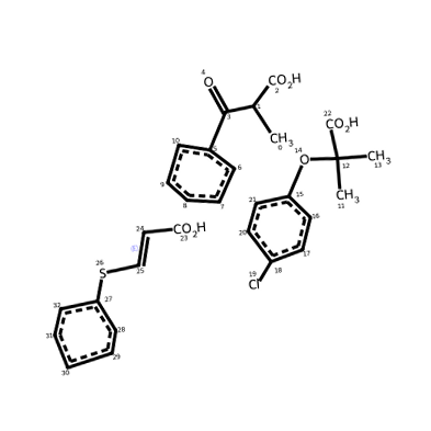 CC(C(=O)O)C(=O)c1ccccc1.CC(C)(Oc1ccc(Cl)cc1)C(=O)O.O=C(O)/C=C/Sc1ccccc1